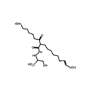 CCCCCCCCC=CCCCCCCC(C(=O)CCCCCCCCCCCCCCC)C(=O)PNC(CO)C(=O)O